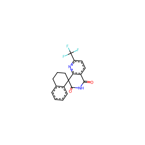 O=C1NC(=O)C2(CCCc3ccccc32)c2nc(C(F)(F)F)ccc21